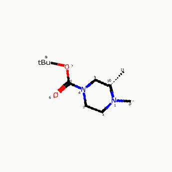 [CH2]N1CCN(C(=O)OC(C)(C)C)C[C@@H]1C